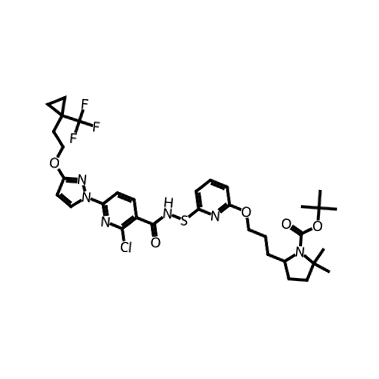 CC(C)(C)OC(=O)N1C(CCCOc2cccc(SNC(=O)c3ccc(-n4ccc(OCCC5(C(F)(F)F)CC5)n4)nc3Cl)n2)CCC1(C)C